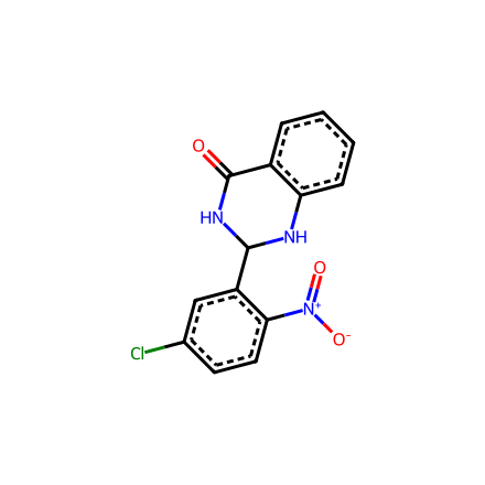 O=C1NC(c2cc(Cl)ccc2[N+](=O)[O-])Nc2ccccc21